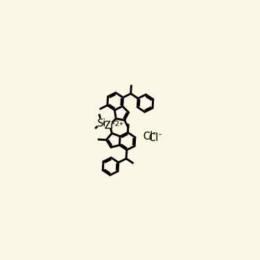 CC1=Cc2c(C(C)c3ccccc3)ccc(C)c2[CH]1[Zr+2]([CH]1C(C)=Cc2c(C(C)c3ccccc3)ccc(C)c21)=[Si](C)C.[Cl-].[Cl-]